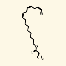 C=CC(=O)OCCCCCCCC/C=C\C/C=C\C/C=C\CC